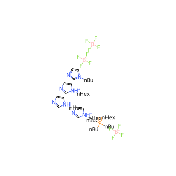 CCCCCC[NH+]1C=CN=C1.CCCCCC[NH+]1C=CN=C1.CCCCCC[NH+]1C=CN=C1.CCCCCC[PH](CCCC)(CCCC)CCCC.CCCCn1ccnc1.F[B-](F)(F)F.F[B-](F)(F)F.F[B-](F)(F)F